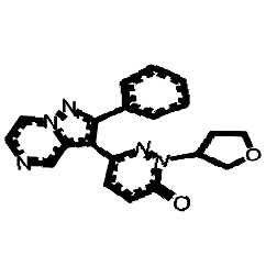 O=c1ccc(-c2c(-c3ccccc3)nn3ccncc23)nn1C1CCOC1